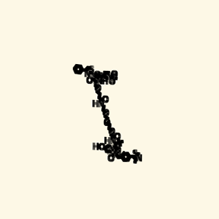 Cc1ncsc1-c1ccc(CNC(=O)[C@@H]2C[C@@H](O)CN2C(=O)[C@@H](NC(=O)COCCOCCOCCNC(=O)CCCOC[C@H](NC(=O)c2ccn(S(C)(=O)=O)c2)C(=O)Nc2nc(-c3ccccc3)cs2)C(C)(C)C)cc1